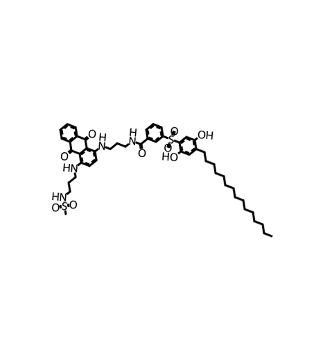 CCCCCCCCCCCCCCCc1cc(O)c(S(=O)(=O)c2cccc(C(=O)NCCCNc3ccc(NCCCNS(C)(=O)=O)c4c3C(=O)c3ccccc3C4=O)c2)cc1O